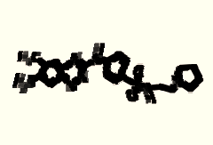 Bc1cc2nnc(Nc3ccc(S(=O)(=O)NCCN4CCCC4)cc3)nc2cc1C